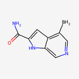 Bc1cncc2[nH]c(C(N)=O)cc12